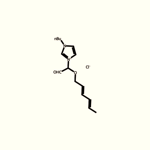 CC=CC=CCOC(C=O)[n+]1ccn(CCCC)c1.[Cl-]